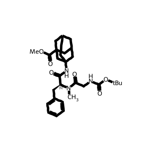 COC(=O)C12CC3CC(CC(NC(=O)[C@H](Cc4ccccc4)N(C)C(=O)CNC(=O)OC(C)(C)C)(C3)C1)C2